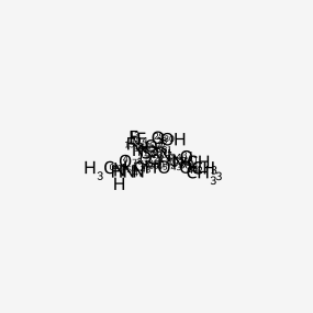 CCNC(=O)Nc1cc(-c2nc(C(F)(F)F)cs2)c(-c2ccc3c(c2)c(=O)c(C(=O)O)cn3C2CN(C(=O)OC(C)(C)C)CC2O)cn1